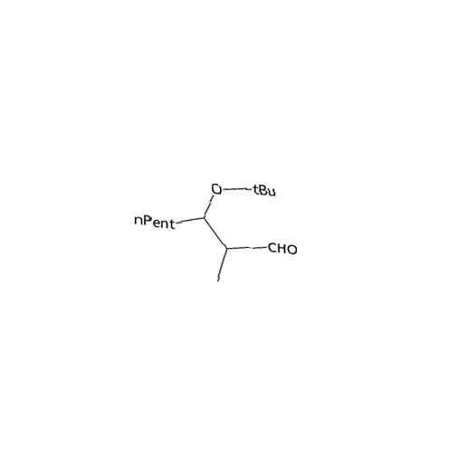 CCCCCC(OC(C)(C)C)C(C)C=O